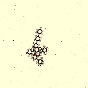 c1ccc(-c2ccc(-c3ccc(N(c4ccccc4-c4ccc(-c5ccccc5)cc4)c4nccc5c4oc4ccccc45)cc3)cc2)cc1